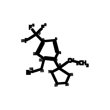 COC1(c2ccc(C(F)(F)F)cc2CBr)CCCC1